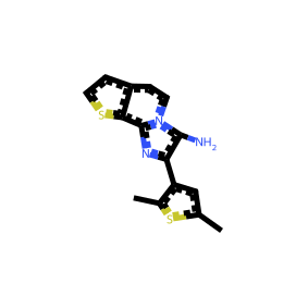 Cc1cc(-c2nc3c4sccc4ccn3c2N)c(C)s1